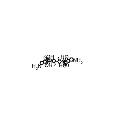 CCc1cc(/N=N/c2c(S(=O)(=O)O)cc3cc(N)ccc3c2O)ccc1-c1ccc(/N=N/c2c(S(=O)(=O)O)cc3ccc(N)cc3c2O)cc1CC